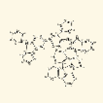 C1=CC(S(c2ccccc2)(c2ccccc2)c2cccc(-c3nc(-n4c5ccccc5c5cc(-c6ccc7c(c6)c6ccccc6n7-c6ccccc6)ccc54)nc4ccccc34)c2)=CCC1